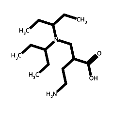 CCC(CC)N(CC(CCN)C(=O)O)C(CC)CC